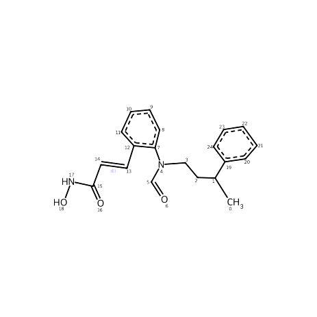 CC(CCN(C=O)c1ccccc1/C=C/C(=O)NO)c1ccccc1